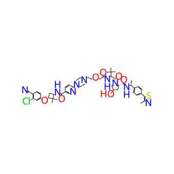 Cc1ncsc1-c1ccc([C@H](C)NC(=O)[C@@H]2C[C@@H](O)CN2C(=O)[C@@H](NC(=O)COCCN2CCN(c3ccc(C(=O)N[C@H]4CC(Oc5ccc(C#N)c(Cl)c5)C4(C)C)cn3)CC2)C(C)(C)C)cc1